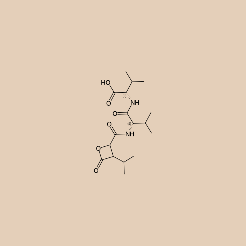 CC(C)C1C(=O)OC1C(=O)N[C@H](C(=O)N[C@H](C(=O)O)C(C)C)C(C)C